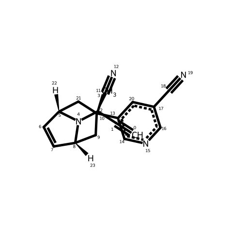 C#CC(C)N1[C@@H]2C=C[C@H]1C[C@@](C#N)(c1cncc(C#N)c1)C2